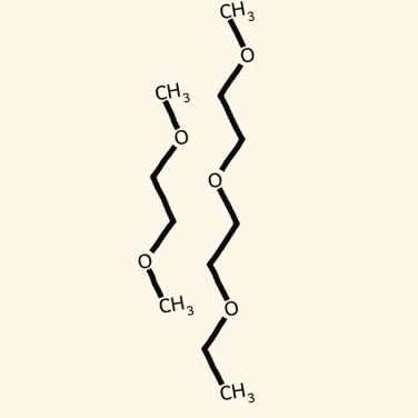 CCOCCOCCOC.COCCOC